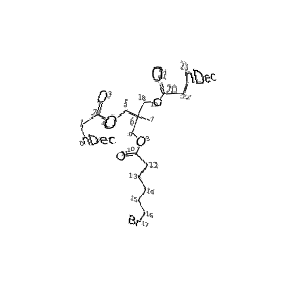 CCCCCCCCCCCC(=O)OCC(C)(COC(=O)CCCCCBr)COC(=O)CCCCCCCCCCC